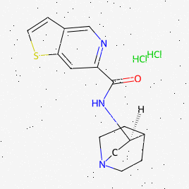 Cl.Cl.O=C(N[C@@H]1CN2CCC1CC2)c1cc2sccc2cn1